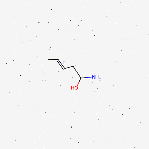 C/C=C/C[C](N)O